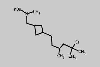 CCCCN(C)CC1CC(CCC(C)CC(C)(C)CC)C1